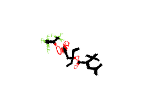 CCC(CC)(CC(=O)OC(C(F)(F)F)C(F)(F)F)OC(=O)C(CC(C)C)C(C)(C)C